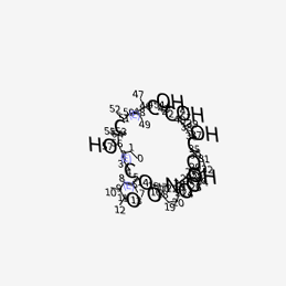 CC/C1=C\CC(/C(C)=C/C(C)C(C)=O)OC(=O)C2CCCCN2C(=O)C(=O)C2(O)OC(CCC2C)CC(O)C(C)C(O)CC(O)CC(C)/C(C)=C/C(C)CC(C)C1O